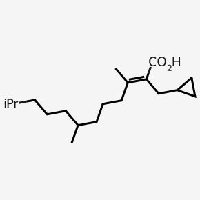 C/C(CCCC(C)CCCC(C)C)=C(/CC1CC1)C(=O)O